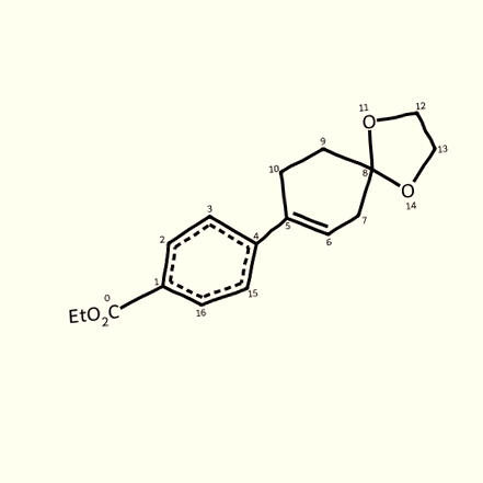 CCOC(=O)c1ccc(C2=CCC3(CC2)OCCO3)cc1